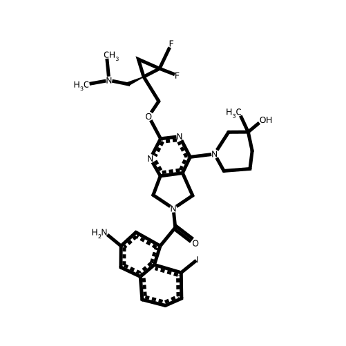 CN(C)C[C@@]1(COc2nc3c(c(N4CCCC(C)(O)C4)n2)CN(C(=O)c2cc(N)cc4cccc(I)c24)C3)CC1(F)F